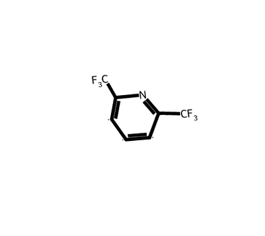 FC(F)(F)c1[c][c][c]c(C(F)(F)F)n1